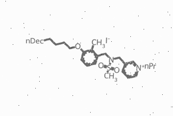 CCCCCCCCCCCCCCOc1cccc(CN(Cc2ccc[n+](CCC)c2)S(C)(=O)=O)c1C.[I-]